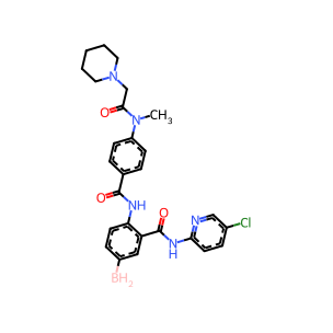 Bc1ccc(NC(=O)c2ccc(N(C)C(=O)CN3CCCCC3)cc2)c(C(=O)Nc2ccc(Cl)cn2)c1